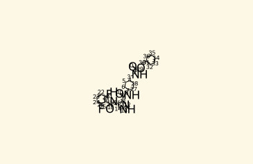 O=C(NC[C@H]1CC[C@H](NC(=O)c2n[nH]cc2NC(=O)c2c(F)cccc2F)CC1)OCc1ccccc1